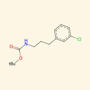 CC(C)(C)OC(=O)NCCCc1cccc(Cl)c1